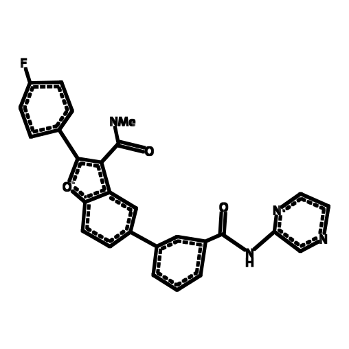 CNC(=O)c1c(-c2ccc(F)cc2)oc2ccc(-c3cccc(C(=O)Nc4cnccn4)c3)cc12